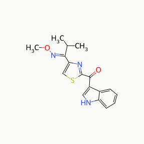 CON=C(c1csc(C(=O)c2c[nH]c3ccccc23)n1)C(C)C